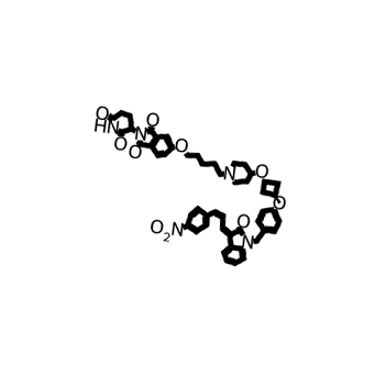 O=C1CCC(N2C(=O)c3ccc(OCCCCCN4CCC(O[C@H]5C[C@H](Oc6ccc(CN7C(=O)C(=CC=Cc8ccc([N+](=O)[O-])cc8)c8ccccc87)cc6)C5)CC4)cc3C2=O)C(=O)N1